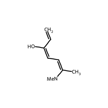 C=C/C(O)=C\C=C(\C)NC